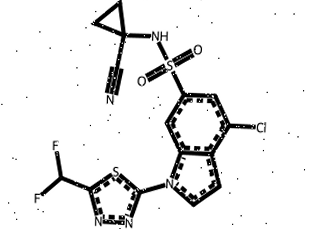 N#CC1(NS(=O)(=O)c2cc(Cl)c3ccn(-c4nnc(C(F)F)s4)c3c2)CC1